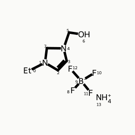 CCN1C=CN(CO)C1.F[B-](F)(F)F.[NH4+]